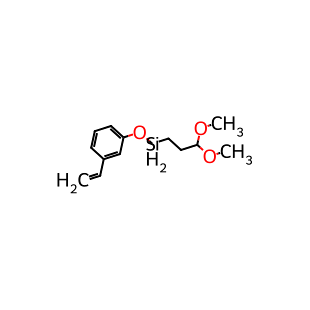 C=Cc1cccc(O[SiH2]CCC(OC)OC)c1